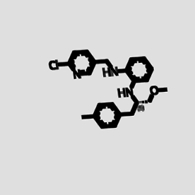 COC[C@H](Cc1ccc(C)cc1)Nc1ccccc1NCc1ccc(Cl)nc1